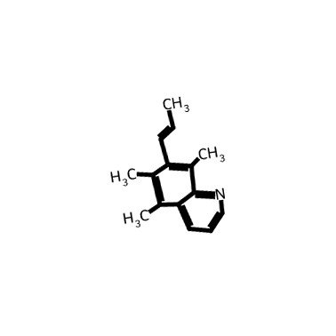 CC=Cc1c(C)c(C)c2cccnc2c1C